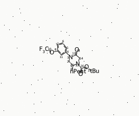 CCCCC[C@H]1CN(c2cccc(OC(F)(F)F)c2)C(=O)CN1C(=O)OC(C)(C)C